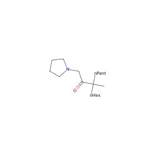 CCCCCCC(C)(CCCCC)C(=O)CN1CCCC1